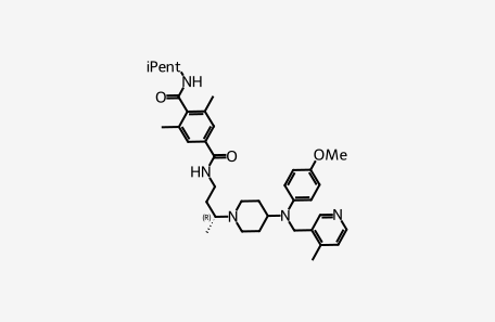 CCCC(C)NC(=O)c1c(C)cc(C(=O)NCC[C@@H](C)N2CCC(N(Cc3cnccc3C)c3ccc(OC)cc3)CC2)cc1C